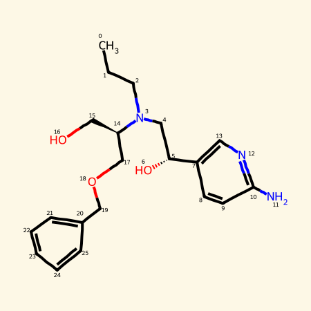 CCCN(C[C@@H](O)c1ccc(N)nc1)[C@H](CO)COCc1ccccc1